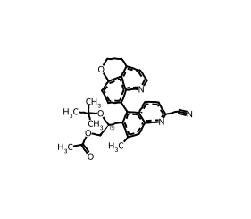 CC(=O)OC[C@@H](OC(C)(C)C)c1c(C)cc2nc(C#N)ccc2c1-c1ccc2c3c(ccnc13)CCO2